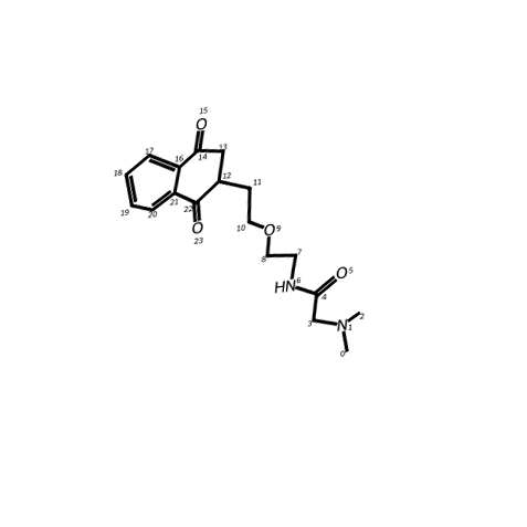 CN(C)CC(=O)NCCOCCC1CC(=O)c2ccccc2C1=O